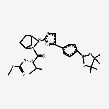 COC(=O)N[C@H](C(=O)N1C2CCC(C2)[C@H]1c1ncc(-c2ccc(B3OC(C)(C)C(C)(C)O3)cc2)[nH]1)C(C)C